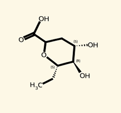 CC[C@@H]1OC(C(=O)O)C[C@H](O)[C@H]1O